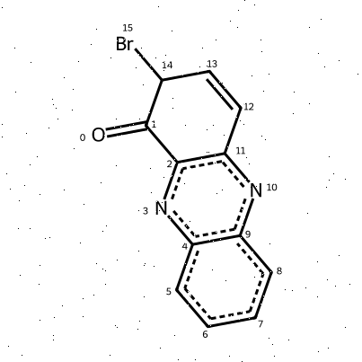 O=C1c2nc3ccccc3nc2C=CC1Br